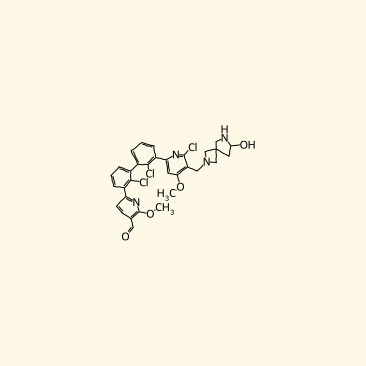 COc1cc(-c2cccc(-c3cccc(-c4ccc(C=O)c(OC)n4)c3Cl)c2Cl)nc(Cl)c1CN1CC2(CNC(O)C2)C1